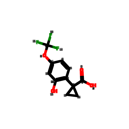 O=C(O)C1(c2ccc(OC(F)(F)F)cc2O)CC1